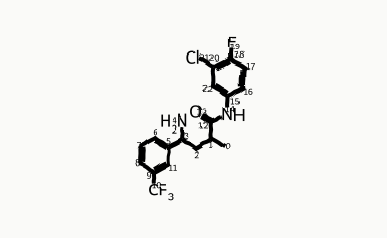 CC(CC(N)c1cccc(C(F)(F)F)c1)C(=O)Nc1ccc(F)c(Cl)c1